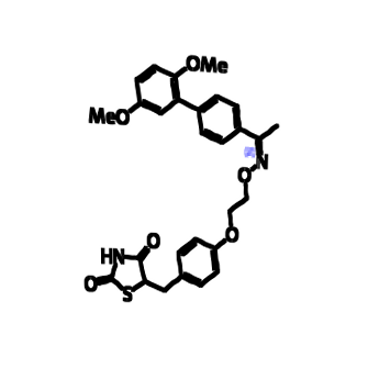 COc1ccc(OC)c(-c2ccc(/C(C)=N\OCCOc3ccc(CC4SC(=O)NC4=O)cc3)cc2)c1